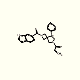 C=CC(=O)N1C[C@H](c2ccccc2)C2(C1)CN(C(=O)c1ccc3cc[nH]c3c1)C2